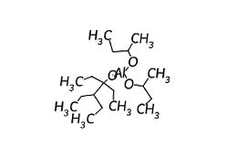 CCC(C)[O][Al]([O]C(C)CC)[O]C(CC)(CC)C(CC)CC